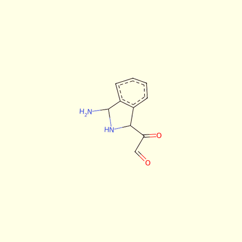 NC1NC(C(=O)C=O)c2ccccc21